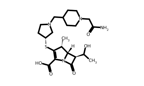 CC(O)[C@H]1C(=O)N2C(C(=O)O)=C(S[C@@H]3CCN(CC4CCN(CC(N)=O)CC4)C3)[C@H](C)[C@H]12